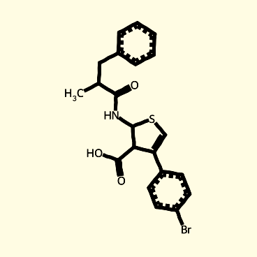 CC(Cc1ccccc1)C(=O)NC1SC=C(c2ccc(Br)cc2)C1C(=O)O